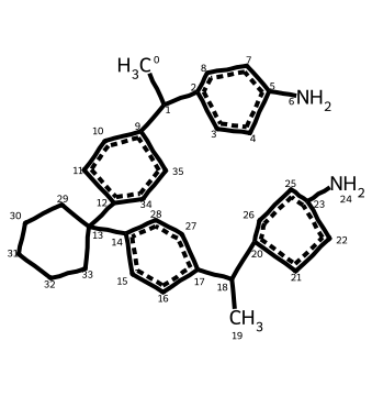 CC(c1ccc(N)cc1)c1ccc(C2(c3ccc(C(C)c4ccc(N)cc4)cc3)CCCCC2)cc1